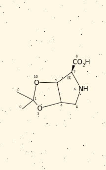 CC1(C)OC2CN[C@H](C(=O)O)C2O1